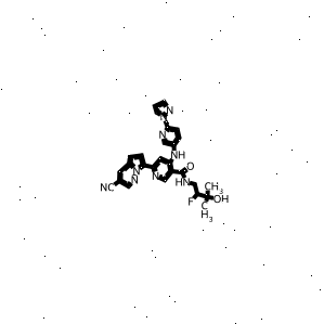 CC(C)(O)C(F)CNC(=O)c1cnc(-c2ccc3cc(C#N)cnn23)cc1Nc1ccc(-n2cccn2)nc1